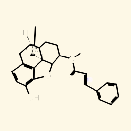 CN(C(=O)/C=C/c1ccccc1)C1CC[C@@]2(O)[C@H]3Cc4ccc(O)c5c4[C@@]2(CCN3C)C1O5